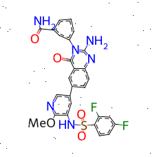 COc1ncc(-c2ccc3nc(N)n(-c4cccc(C(N)=O)c4)c(=O)c3c2)cc1NS(=O)(=O)c1ccc(F)cc1F